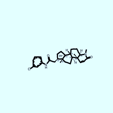 CN1C(=O)C=C[C@]2(C)[C@H]3CC[C@]4(C)[C@@H](CC(=O)Nc5cccc(Cl)c5)CC[C@H]4[C@@H]3CC[C@@H]12